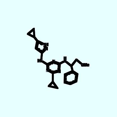 COCC(Nc1nc(Nc2cc(C3CC3)[nH]n2)nc(C2CC2)n1)c1ccccc1